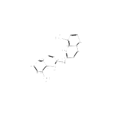 Oc1cccc2ccc(Nc3ccc4cccc(O)c4n3)nc12